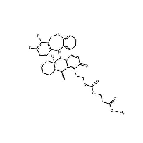 COC(=O)CCOC(=O)OCOc1c2n(ccc1=O)N([C@@H]1c3ccccc3SCc3c1ccc(F)c3F)[C@@H]1COCCN1C2=O